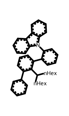 CCCCCCC(CCCCCC)c1c(-c2ccccc2)cccc1-c1ccccc1-n1c2ccccc2c2ccccc21